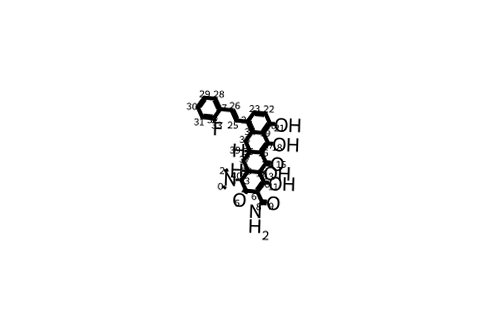 CN(C)[C@@H]1C(=O)C(C(N)=O)=C(O)[C@@]2(O)C(=O)C3=C(O)c4c(O)ccc(C=Cc5ccccc5F)c4C[C@H]3C[C@@H]12